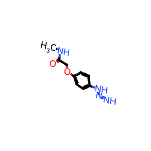 CNC(=O)COc1ccc(NN=N)cc1